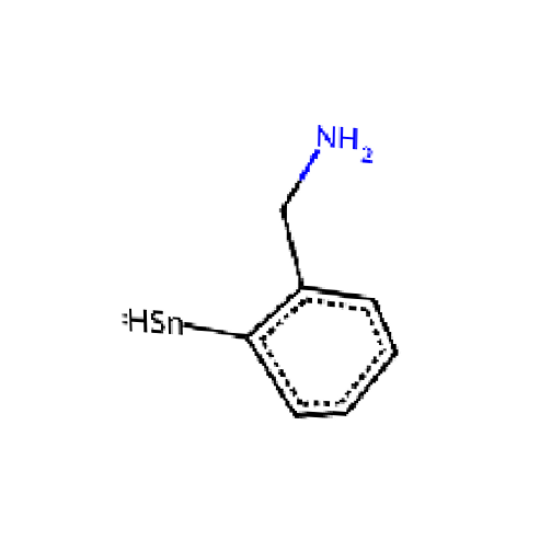 NCc1cccc[c]1[SnH]